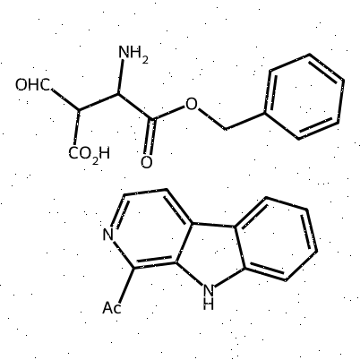 CC(=O)c1nccc2c1[nH]c1ccccc12.NC(C(=O)OCc1ccccc1)C(C=O)C(=O)O